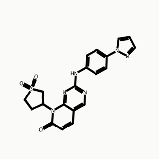 O=c1ccc2cnc(Nc3ccc(-n4cccn4)cc3)nc2n1C1CCS(=O)(=O)C1